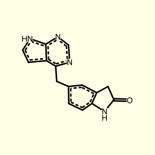 O=C1Cc2cc(Cc3ncnc4[nH]ccc34)ccc2N1